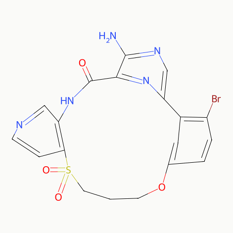 Nc1ncc2nc1C(=O)Nc1cnccc1S(=O)(=O)CCCOc1ccc(Br)c-2c1